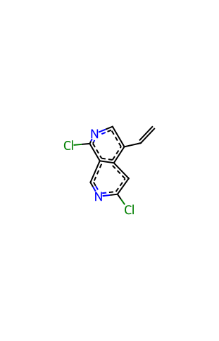 C=Cc1cnc(Cl)c2cnc(Cl)cc12